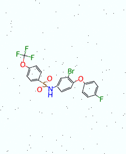 O=S(=O)(Nc1ccc(Oc2ccc(F)cc2)c(Br)c1)c1ccc(OC(F)(F)F)cc1